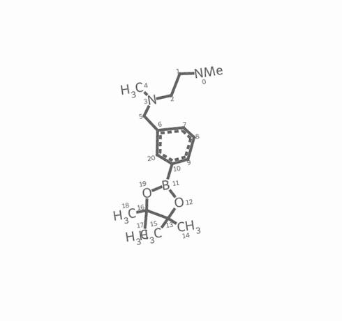 CNCCN(C)Cc1cccc(B2OC(C)(C)C(C)(C)O2)c1